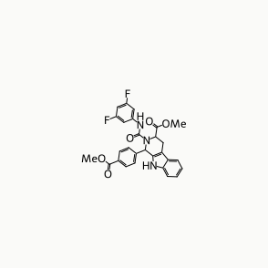 COC(=O)c1ccc(C2c3[nH]c4ccccc4c3CC(C(=O)OC)N2C(=O)Nc2cc(F)cc(F)c2)cc1